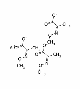 CON=C(C)C(=O)[O-].CON=C(C)C(=O)[O-].CON=C(C)C(=O)[O-].[Al+3]